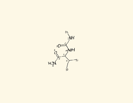 CNC(=O)NC(C(N)=O)C(C)C